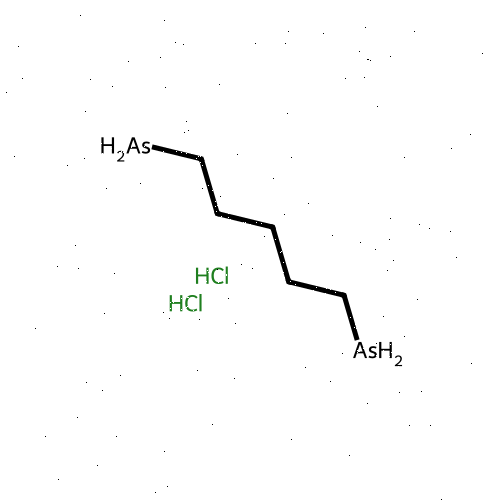 Cl.Cl.[AsH2]CCCCC[AsH2]